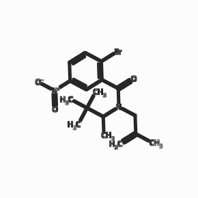 C=C(C)CN(C(=O)c1cc([N+](=O)[O-])ccc1Br)C(C)C(C)(C)C